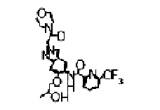 CC(O)COc1cc2nn(CC(=O)N3CCOCC3)cc2cc1NC(=O)c1cccc(C(F)(F)F)n1